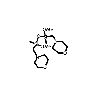 CO[Si](C)(CN1CCOCC1)O[Si](C)(CN1CCOCC1)OC